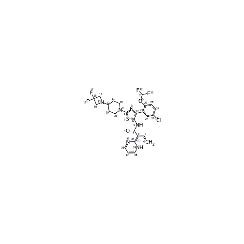 C=C/C(C(=O)Nc1sc(N2CCC(N3CC(F)(F)C3)CC2)nc1-c1cc(Cl)ccc1OC(F)F)=C1/N=CC=CN1